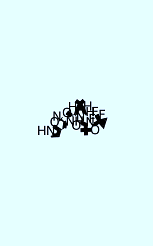 CC(C)(C)[C@H](NC(=O)C1(C(F)(F)F)CC1)C(=O)N1C[C@H]2[C@@H]([C@H]1C(=O)N[C@H](C#N)C[C@@H]1CCNC1=O)C2(C)C